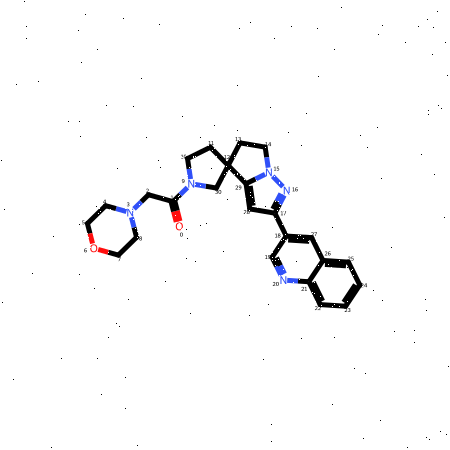 O=C(CN1CCOCC1)N1CCC2(CCn3nc(-c4cnc5ccccc5c4)cc32)C1